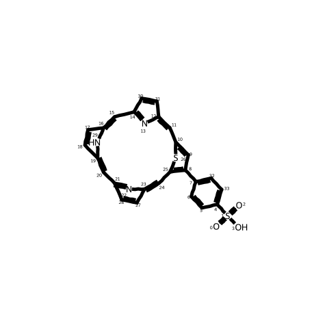 O=S(=O)(O)c1ccc(-c2cc3cc4nc(cc5ccc(cc6nc(cc2s3)C=C6)[nH]5)C=C4)cc1